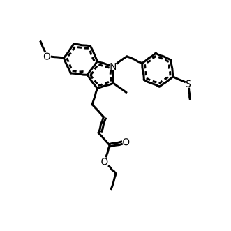 CCOC(=O)/C=C/Cc1c(C)n(Cc2ccc(SC)cc2)c2ccc(OC)cc12